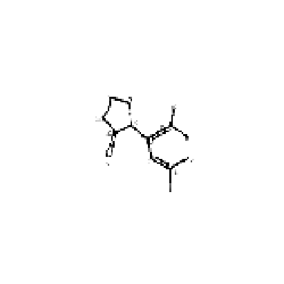 CC(C)=CC(=C(C)C)C1CCCC1=O